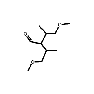 COCC(C)C([C]=O)C(C)COC